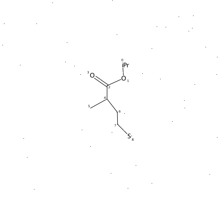 CC(C)OC(=O)C(C)CC[S]